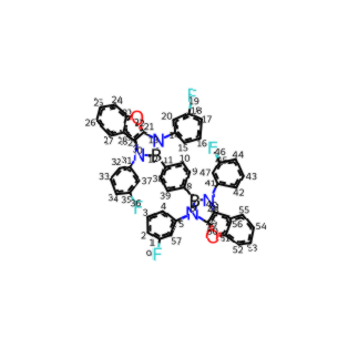 Fc1cccc(N2B(c3ccc(B4N(c5cccc(F)c5)c5oc6ccccc6c5N4c4cccc(F)c4)cc3)N(c3cccc(F)c3)c3c2oc2ccccc32)c1